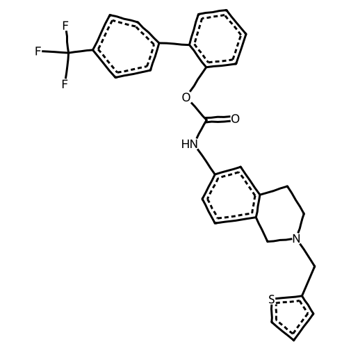 O=C(Nc1ccc2c(c1)CCN(Cc1cccs1)C2)Oc1ccccc1-c1ccc(C(F)(F)F)cc1